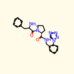 NC(Cc1ccccc1)C(=O)N1CCC[C@H]1C(=O)NCc1ccccc1-n1cnnn1